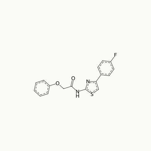 O=C(COc1ccccc1)Nc1nc(-c2ccc(F)cc2)cs1